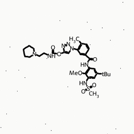 COc1c(NC(=O)c2ccc(C)c(-n3cc(OC(=O)NCCN4CCCCC4)nn3)c2)cc(C(C)(C)C)cc1NS(C)(=O)=O